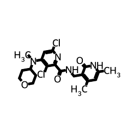 Cc1cc(C)c(CNC(=O)c2nc(Cl)cc(N(C)C3CCOCC3)c2Cl)c(=O)[nH]1